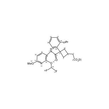 CCOC(=O)CC1CC(C(=O)Nc2ccc(OC)nc2OC(F)F)(c2ccccc2C(C)C)C1